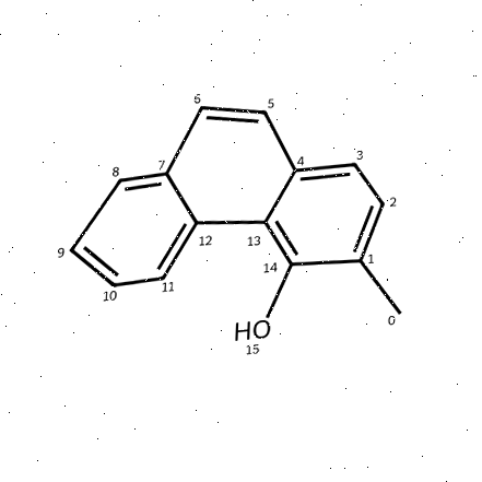 Cc1ccc2ccc3ccccc3c2c1O